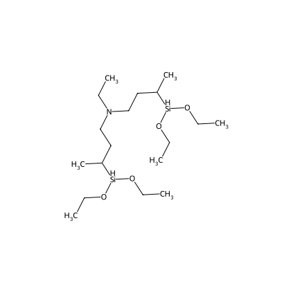 CCO[SiH](OCC)C(C)CCN(CC)CCC(C)[SiH](OCC)OCC